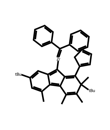 CC1=C(C)C(C)(C(C)(C)C)C(C2=CC=CC2)=C2[C]([Zr]=[C](c3ccccc3)c3ccccc3)=c3cc(C(C)(C)C)cc(C)c3=C12